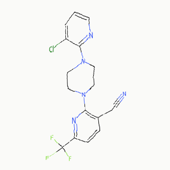 N#Cc1ccc(C(F)(F)F)nc1N1CCN(c2ncccc2Cl)CC1